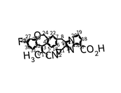 C/C(C#N)=C1/c2ccc(Cc3c(C4CC4)nc4c(C(=O)O)cccn34)cc2COc2cc(F)ccc21